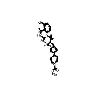 C[C@H](NC1NS(=O)(=O)C(Cc2ccc(C3CCN(C(=O)OC(C)(C)C)CC3)cc2)C(C)(C)O1)c1ccccc1Cl